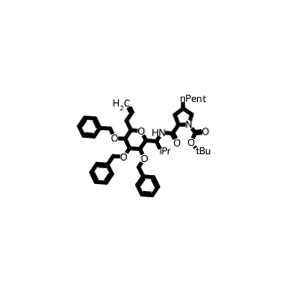 C=CCC1OC(C(NC(=O)C2CC(CCCCC)CN2C(=O)OC(C)(C)C)C(C)C)C(OCc2ccccc2)C(OCc2ccccc2)C1OCc1ccccc1